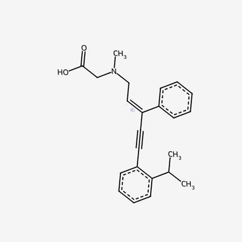 CC(C)c1ccccc1C#C/C(=C/CN(C)CC(=O)O)c1ccccc1